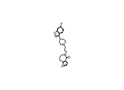 Cn1ccc2c1CCCN(CCCN1CCC(c3noc4cc(F)ccc34)CC1)C2=O